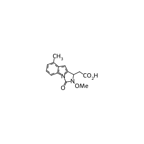 CON1C(=O)n2c(cc3c(C)cccc32)C1CC(=O)O